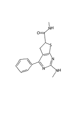 CNC(=O)C1Cc2c(nc(NC)nc2-c2ccccc2)S1